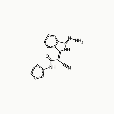 N#CC(C(=O)Nc1ccccc1)=C1NC(=NN)c2ccccc21